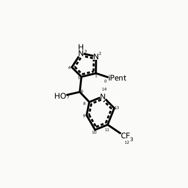 CCCC(C)c1n[nH]cc1C(O)c1ccc(C(F)(F)F)cn1